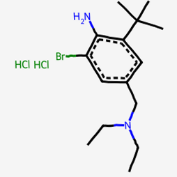 CCN(CC)Cc1cc(Br)c(N)c(C(C)(C)C)c1.Cl.Cl